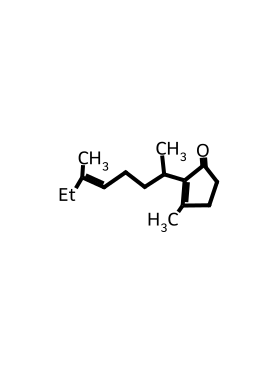 CCC(C)=CCCC(C)C1=C(C)CCC1=O